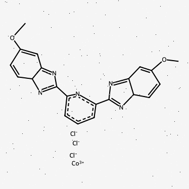 COC1=CC2=NC(c3cccc(C4=NC5C=CC(OC)=CC5=N4)n3)=NC2C=C1.[Cl-].[Cl-].[Cl-].[Co+3]